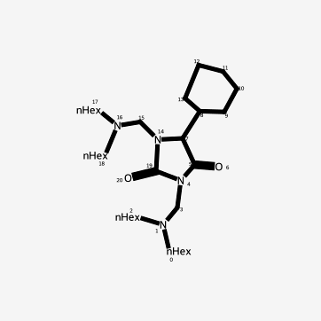 CCCCCCN(CCCCCC)CN1C(=O)C(C2CCCCC2)N(CN(CCCCCC)CCCCCC)C1=O